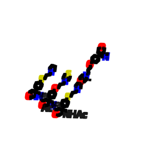 CC(=O)NCC1(c2ccc(SCCCN3CCCC3)cc2)CCOCC1.CCN(CC1(c2ccc(OCCCN3CCSCC3)cc2)CCOCC1)C(C)=O.CCNCC1(c2ccc(SCCCN3CCCC3)cc2)CCOCC1.C[C@@H]1COCCN1CCCOc1ccc(C2(CN(C)C)CCOCC2)cc1